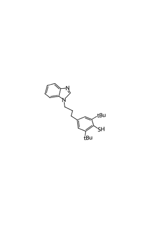 CC(C)(C)c1cc(CCCn2cnc3ccccc32)cc(C(C)(C)C)c1S